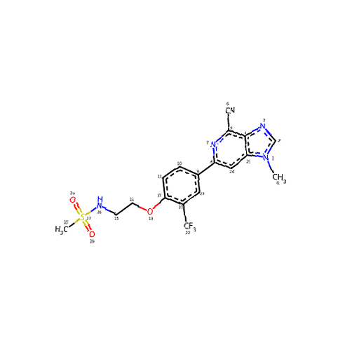 Cn1cnc2c(C#N)nc(-c3ccc(OCCNS(C)(=O)=O)c(C(F)(F)F)c3)cc21